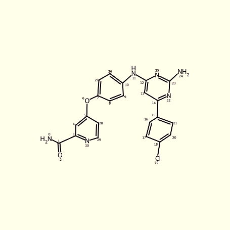 NC(=O)c1cc(Oc2ccc(Nc3cc(-c4ccc(Cl)cc4)nc(N)n3)cc2)ccn1